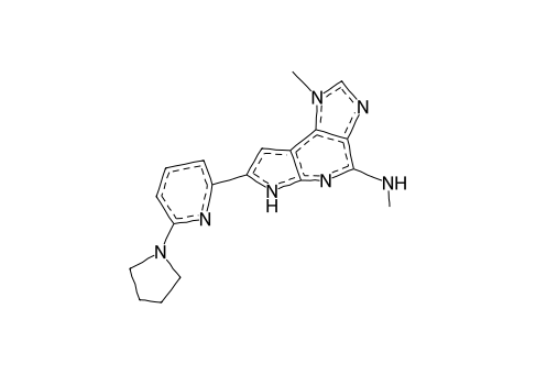 CNc1nc2[nH]c(-c3cccc(N4CCCC4)n3)cc2c2c1ncn2C